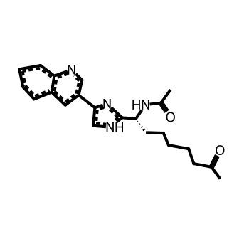 CC(=O)CCCCC[C@@H](NC(C)=O)c1nc(-c2cnc3ccccc3c2)c[nH]1